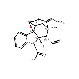 C/C=C1/CN2CC[C@]34c5ccccc5N(C(C)=O)[C@H]3[C@@H](C=O)[C@H]1C[C@H]24